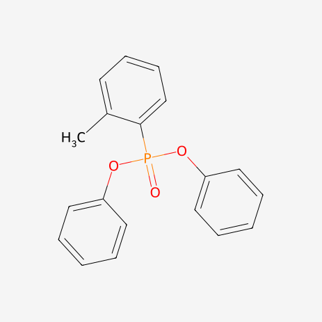 Cc1ccccc1P(=O)(Oc1ccccc1)Oc1ccccc1